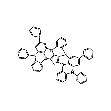 c1ccc(-c2cc3c4c(c2)N2c5ccccc5N5c6cc(-c7ccccc7)cc7c6B(c6ccccc6N7c6ccccc6)c6sc(c2c65)B4c2ccccc2N3c2ccccc2)cc1